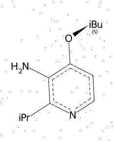 CC[C@H](C)Oc1ccnc(C(C)C)c1N